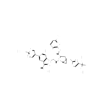 CC(=O)c1nn(CC(=O)N2[C@H](C(=O)Nc3nc(Br)ccc3C)C[C@@]3(Cc4nc(C(C)(C)C)cs4)C[C@@H]23)c2ccc(-c3cnc(C)nc3)cc12